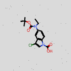 CCN(C(=O)OC(C)(C)C)c1ccc2c(c1)c(Cl)cn2C(=O)O